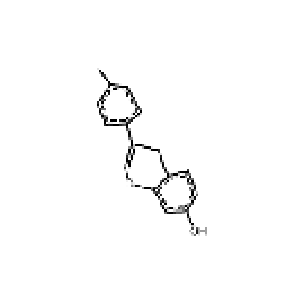 Cc1ccc(C2=COc3cc(O)ccc3C2)cc1